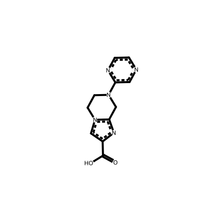 O=C(O)c1cn2c(n1)CN(c1cnccn1)CC2